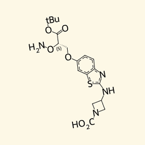 CC(C)(C)OC(=O)[C@H](COc1ccc2nc(NC3CN(C(=O)O)C3)sc2c1)ON